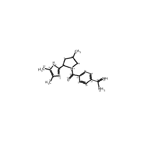 Cc1nc(C2CC(C)CN2C(=O)c2ccc(C(=N)N)cc2)[nH]c1C